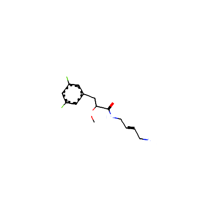 COC(Cc1cc(F)cc(F)c1)C(=O)NC/C=C/CN